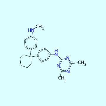 CNc1ccc(C2(c3ccc(Nc4nc(C)nc(C)n4)cc3)CCCCC2)cc1